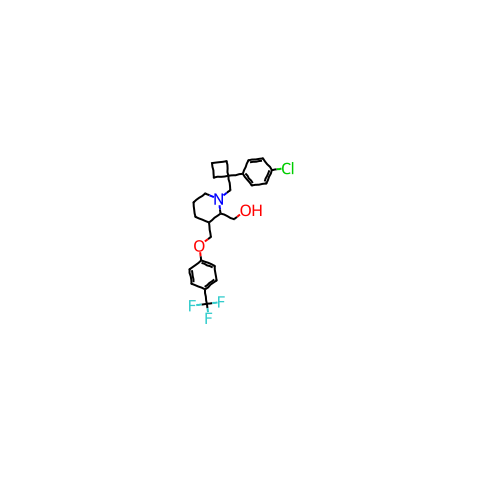 OCC1C(COc2ccc(C(F)(F)F)cc2)CCCN1CC1(c2ccc(Cl)cc2)CCC1